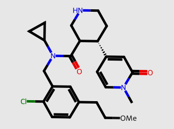 COCCc1ccc(Cl)c(CN(C(=O)C2CNCC[C@@H]2c2ccn(C)c(=O)c2)C2CC2)c1